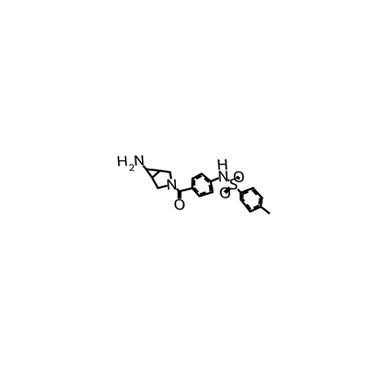 Cc1ccc(S(=O)(=O)Nc2ccc(C(=O)N3CC4C(N)C4C3)cc2)cc1